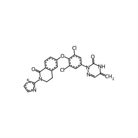 C=C1C=NN(c2cc(Cl)c(Oc3ccc4c(c3)CCN(c3nccs3)C4=O)c(Cl)c2)C(=O)N1